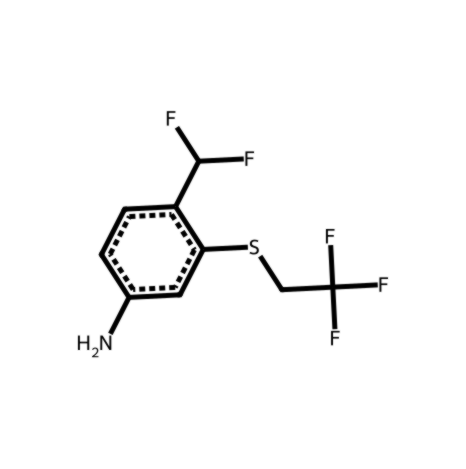 Nc1ccc(C(F)F)c(SCC(F)(F)F)c1